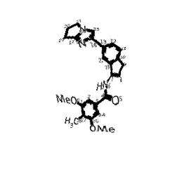 COc1cc(C(=O)N[C@@H]2CCc3ccc(-c4cn5c(n4)CCC5)cc32)cc(OC)c1C